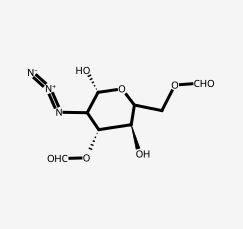 [N-]=[N+]=NC1[C@H](O)OC(COC=O)[C@@H](O)[C@@H]1OC=O